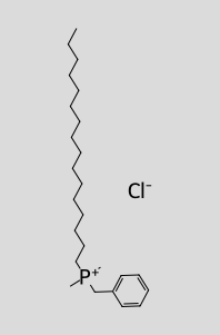 CCCCCCCCCCCCCCCC[P+](C)(C)Cc1ccccc1.[Cl-]